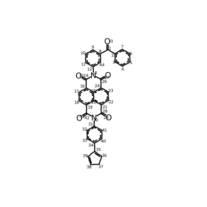 O=C(c1ccccc1)c1cccc(N2C(=O)c3ccc4c5c(ccc(c35)C2=O)C(=O)N(c2ccc(C3=CCC=C3)cc2)C4=O)c1